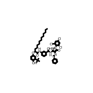 CCCCCCCCCCCCC(Oc1ccc(O)c(C(C)(C)C)c1)C(=O)Nc1cccc(C(=O)Nc2[nH]n(-c3c(Cl)cc(Cl)cc3Cl)c(=O)c2N=Nc2ccccc2)c1